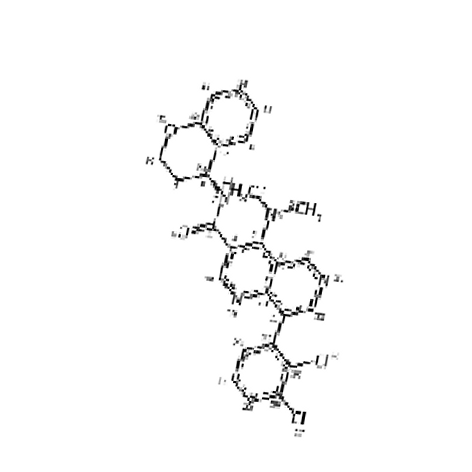 CN(C)c1c(C(=O)N[C@H]2CCOc3ccccc32)cnc2c(-c3cccc(Cl)c3Cl)cncc12